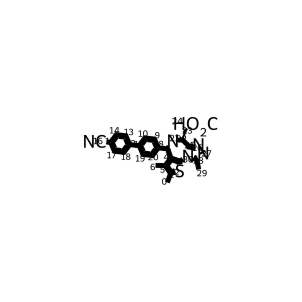 Cc1sc2c(c1C)C(c1ccc(-c3ccc(C#N)cc3)cc1)=N[C@@H](CC(=O)O)c1nnc(C)n1-2